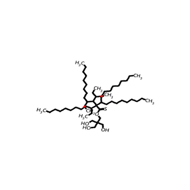 CCCCCCCCCC(CC)C(C(CC)CCCCCCCCC)C(C(=S)OCC(CO)(CO)CO)(C(CC)CCCCCCCCC)C(CC)CCCCCCCCC